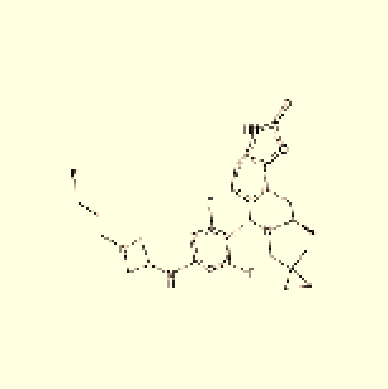 C[C@@H]1Cc2c(ccc3[nH]c(=O)oc23)[C@@H](c2c(F)cc(NC3CN(CCCF)C3)cc2F)N1CC1(C)CC1